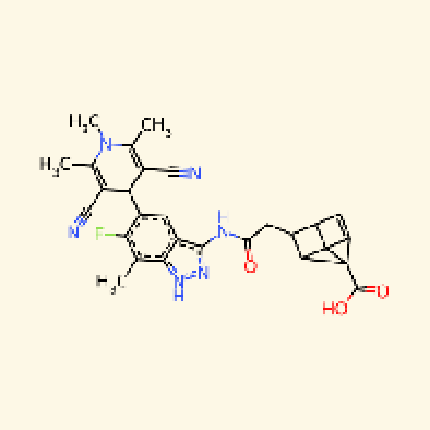 CC1=C(C#N)C(c2cc3c(NC(=O)CC4C5C=C6C7(C(=O)O)C4C657)n[nH]c3c(C)c2F)C(C#N)=C(C)N1C